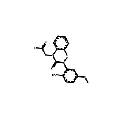 COc1ccc(O)c(C2Sc3ccccc3N(CC(=O)O)C2=O)c1